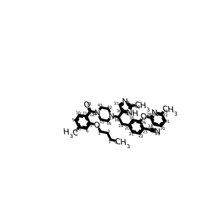 CCCCOc1cc(C)ccc1C(=O)N1CCN(C(Cc2ccc(C#N)c(Oc3cccc(C)n3)c2)c2cnc(C)[nH]2)CC1